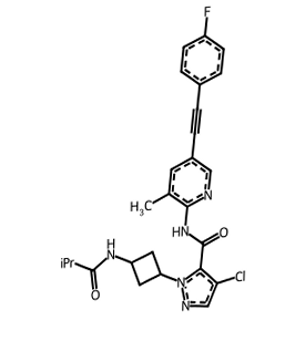 Cc1cc(C#Cc2ccc(F)cc2)cnc1NC(=O)c1c(Cl)cnn1C1CC(NC(=O)C(C)C)C1